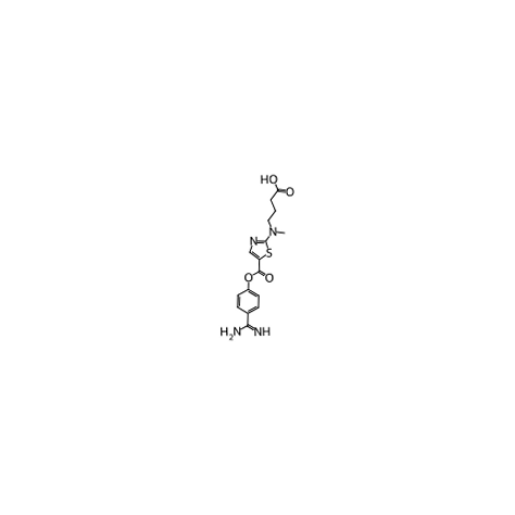 CN(CCCC(=O)O)c1ncc(C(=O)Oc2ccc(C(=N)N)cc2)s1